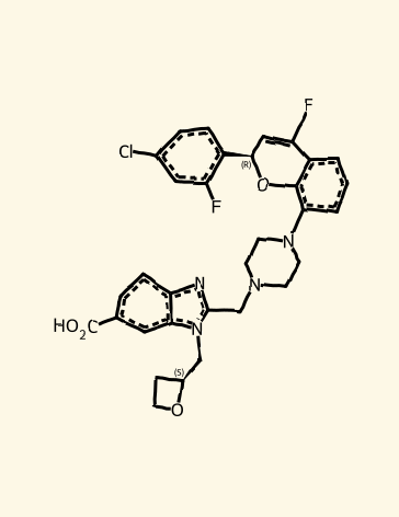 O=C(O)c1ccc2nc(CN3CCN(c4cccc5c4O[C@@H](c4ccc(Cl)cc4F)C=C5F)CC3)n(C[C@@H]3CCO3)c2c1